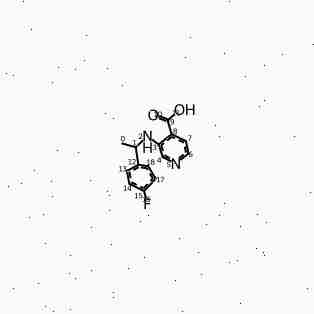 CC(Nc1cnccc1C(=O)O)c1ccc(F)cc1